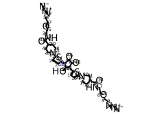 [N-]=[N+]=NCCOCCNC(=O)C1CCN(c2ccc(C3=C(O)/C(=C4\C=CC(=[N+]5CCC(C(=O)NCCOCCN=[N+]=[N-])CC5)S4)C(=O)C3=O)s2)CC1